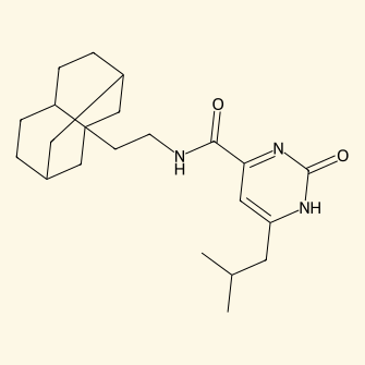 CC(C)Cc1cc(C(=O)NCCC23CC4CCC2CCC(C4)C3)nc(=O)[nH]1